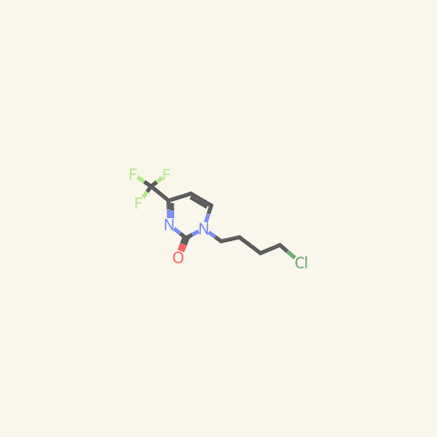 O=c1nc(C(F)(F)F)ccn1CCCCCl